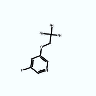 [2H]C([2H])([2H])COc1cn[c]c(F)c1